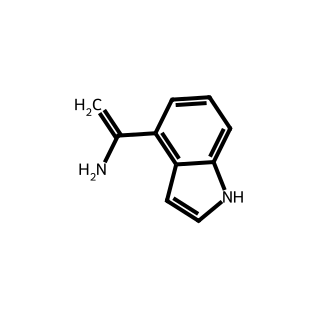 C=C(N)c1cccc2[nH]ccc12